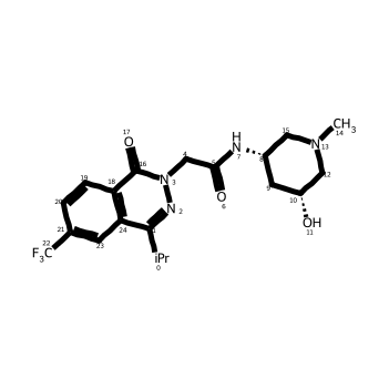 CC(C)c1nn(CC(=O)N[C@H]2C[C@@H](O)CN(C)C2)c(=O)c2ccc(C(F)(F)F)cc12